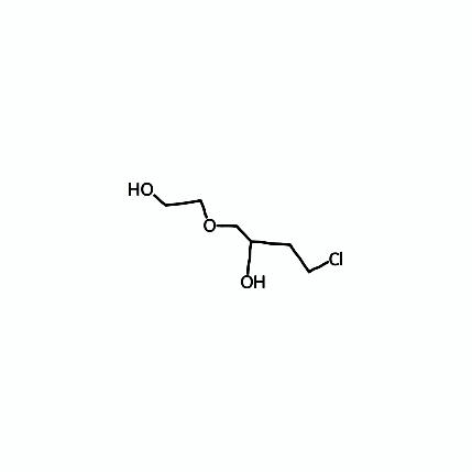 OCCOCC(O)CCCl